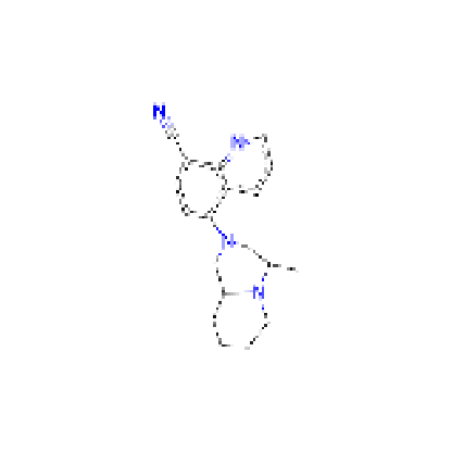 CC1CN(c2ccc(C#N)c3ncccc23)CC2CCCCN12